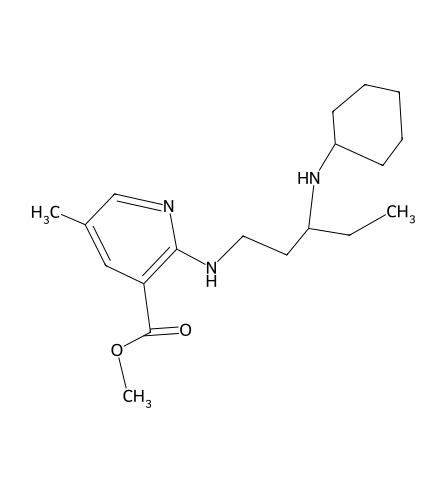 CCC(CCNc1ncc(C)cc1C(=O)OC)NC1CCCCC1